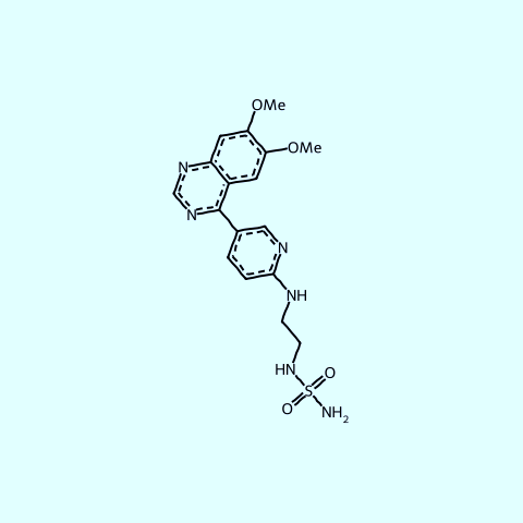 COc1cc2ncnc(-c3ccc(NCCNS(N)(=O)=O)nc3)c2cc1OC